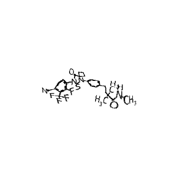 CNC(=O)C(C)(C)CCc1ccc(N2C(=S)N(c3ccc(C#N)c(C(F)(F)F)c3F)C(=O)C23CCC3)cc1